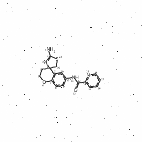 NC1=N[C@]2(CCOc3ccc(NC(=O)c4ccccn4)cc32)CS1